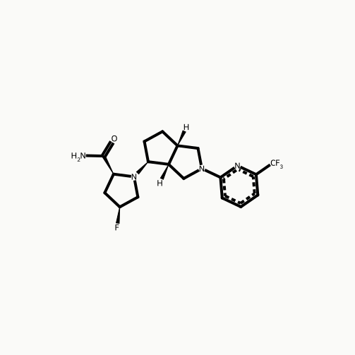 NC(=O)[C@@H]1C[C@H](F)CN1[C@H]1CC[C@@H]2CN(c3cccc(C(F)(F)F)n3)C[C@@H]21